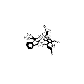 CC(C)(C)OC(=O)N(Cc1ccccc1)C[C@H](O[Si](C)(C)C(C)(C)C)c1ccc(O)c2[nH]c(=O)cc(N)c12